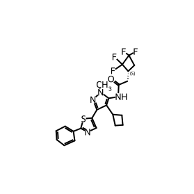 Cn1nc(-c2cnc(-c3ccccc3)s2)c(C2CCC2)c1NC(=O)C[C@H]1CC(F)(F)C1(F)F